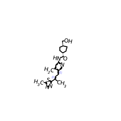 C=c1cc(NC(=O)[C@H]2CC[C@H](CO)CC2)nc/c1=C/C=C(\C)c1nnc(C)s1